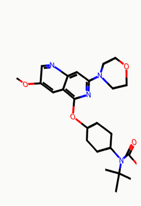 COc1cnc2cc(N3CCOCC3)nc(OC3CCC(N(C(=O)O)C(C)(C)C)CC3)c2c1